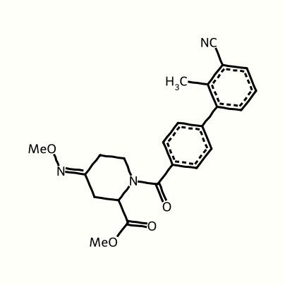 CO/N=C1\CCN(C(=O)c2ccc(-c3cccc(C#N)c3C)cc2)C(C(=O)OC)C1